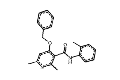 Cc1cc(OCc2ccccc2)c(C(=O)Nc2ccccc2C)c(C)n1